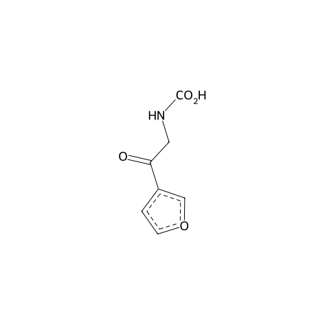 O=C(O)NCC(=O)c1ccoc1